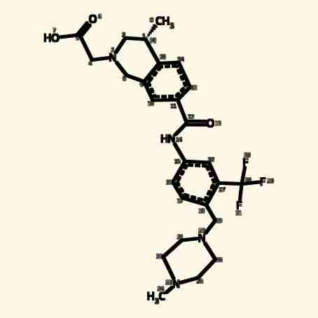 C[C@H]1CN(CC(=O)O)Cc2cc(C(=O)Nc3ccc(CN4CCN(C)CC4)c(C(F)(F)F)c3)ccc21